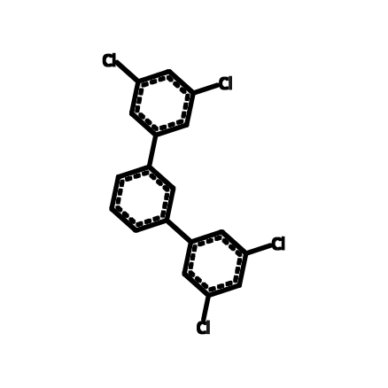 Clc1cc(Cl)cc(-c2cccc(-c3cc(Cl)cc(Cl)c3)c2)c1